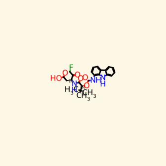 CC(C)(C)[C@H](OC(=O)Nc1cccc2c1[nH]c1ccccc12)C(=O)N[C@@H](CC(=O)O)C(=O)CF